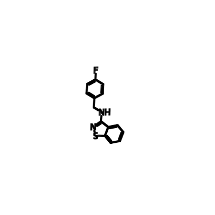 Fc1ccc(CNc2nsc3ccccc23)cc1